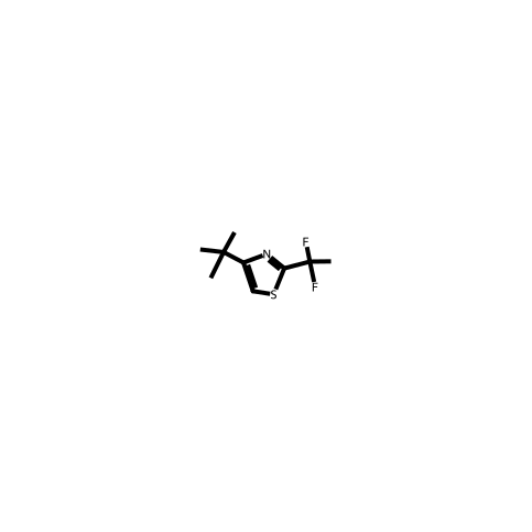 CC(C)(C)c1csc(C(C)(F)F)n1